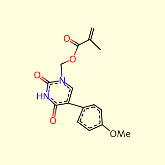 C=C(C)C(=O)OCn1cc(-c2ccc(OC)cc2)c(=O)[nH]c1=O